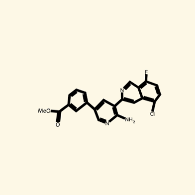 COC(=O)c1cccc(-c2cnc(N)c(-c3cc4c(Cl)ccc(F)c4cn3)c2)c1